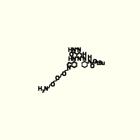 CC(C)(C)OC(=O)N[C@H]1CCCC[C@H]1Nc1cc2nc[nH]c(=O)c2c(Nc2cccc3c2ccn3CCOCCOCCOCCN)n1